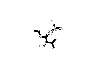 CCOC(=O)[C@@H](N)C(C)C.O=[N+]([O-])O